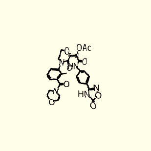 CC(=O)O[C@@H](C(=O)Nc1ccc(-c2noc(=O)[nH]2)cc1)[C@H]1OCCN(c2cccc(C(=O)N3CCOCC3)c2C)C1=O